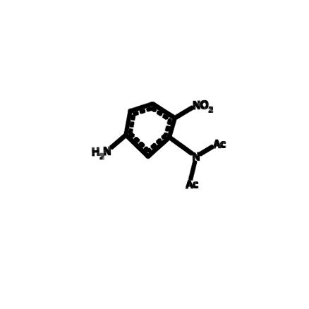 CC(=O)N(C(C)=O)c1cc(N)ccc1[N+](=O)[O-]